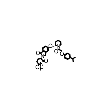 CC(C)c1ccc(OCC(=O)N2CCCC[C@H]2COc2ccc3c(c2)CN(C2CCC(=O)NC2=O)C3=O)cc1